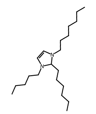 CCCCCCCN1C=CN(CCCCC)C1CCCCCC